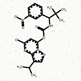 CC(C)c1cnn2c(OC(=O)NC(c3cccc([N+](=O)[O-])c3)C(C)(C)C)cc(Cl)nc12